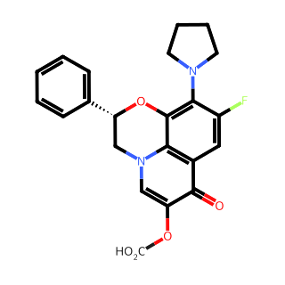 O=C(O)Oc1cn2c3c(c(N4CCCC4)c(F)cc3c1=O)O[C@@H](c1ccccc1)C2